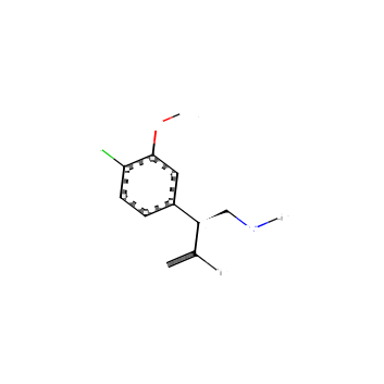 C=C(C(C)C)[C@H](CNC(C)C)c1ccc(Cl)c(OC(F)(F)F)c1